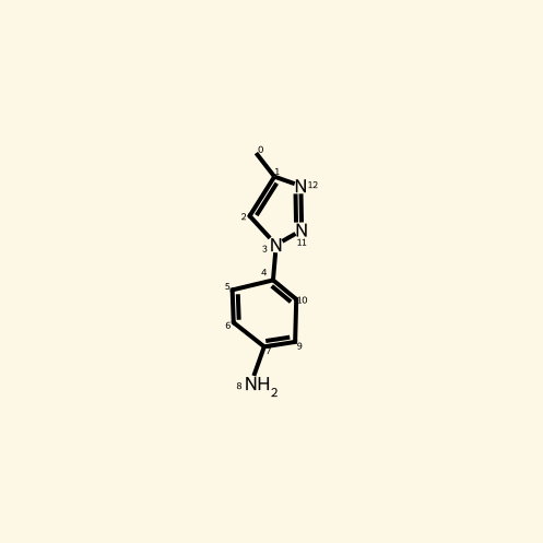 Cc1cn(-c2ccc(N)cc2)nn1